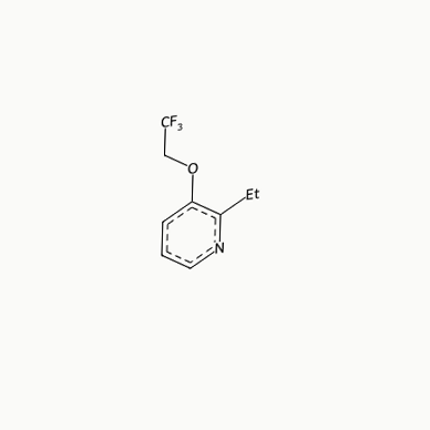 CCc1ncccc1OCC(F)(F)F